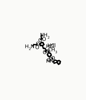 CN(C(=O)/C=C/c1ccc(OC(=O)CN)c(OC(=O)CN)c1)c1ccc(S(=O)(=O)NC2Cc3ccccc3C2)cc1.Cl.Cl